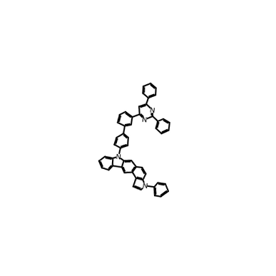 c1ccc(-c2cc(-c3cccc(-c4ccc(-n5c6ccccc6c6cc7c(ccc8c7ccn8-c7ccccc7)cc65)cc4)c3)nc(-c3ccccc3)n2)cc1